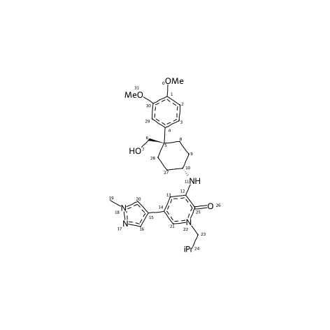 COc1ccc([C@]2(CO)CC[C@H](Nc3cc(-c4cnn(C)c4)cn(CC(C)C)c3=O)CC2)cc1OC